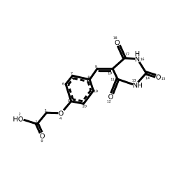 O=C(O)COc1ccc(C=C2C(=O)NC(=O)NC2=O)cc1